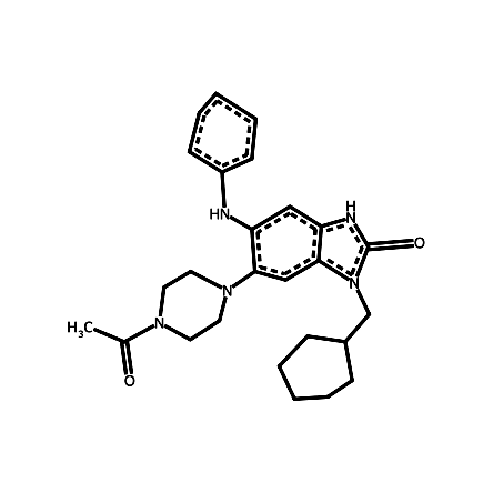 CC(=O)N1CCN(c2cc3c(cc2Nc2ccccc2)[nH]c(=O)n3CC2CCCCC2)CC1